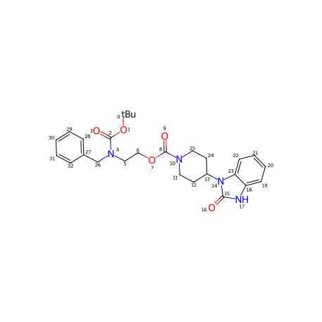 CC(C)(C)OC(=O)N(CCOC(=O)N1CCC(n2c(=O)[nH]c3ccccc32)CC1)Cc1ccccc1